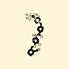 CC(C)(C)N1CCN(Cc2ccc(C(=O)Nc3ccc(OCc4ccccc4C#N)c(Cl)c3)cc2)CC1